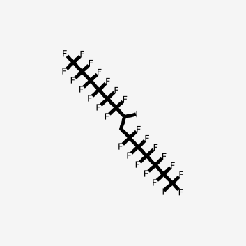 FC(F)(F)C(F)(F)C(F)(F)C(F)(F)C(F)(F)C(F)(F)C(I)CC(F)(F)C(F)(F)C(F)(F)C(F)(F)C(F)(F)C(F)(F)I